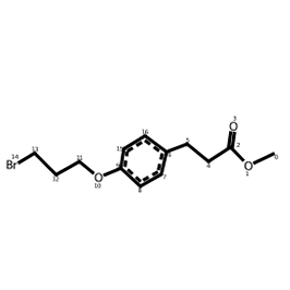 COC(=O)CCc1ccc(OCCCBr)cc1